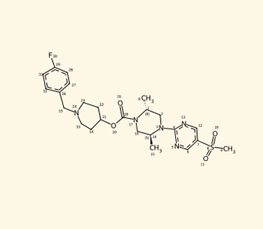 C[C@@H]1CN(c2ncc(S(C)(=O)=O)cn2)[C@@H](C)CN1C(=O)OC1CCN(Cc2ccc(F)cc2)CC1